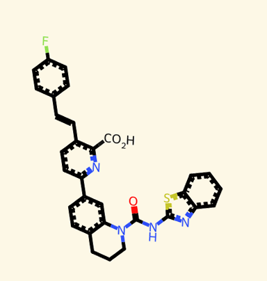 O=C(O)c1nc(-c2ccc3c(c2)N(C(=O)Nc2nc4ccccc4s2)CCC3)ccc1C=Cc1ccc(F)cc1